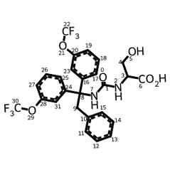 O=C(NC(CO)C(=O)O)NC(Cc1ccccc1)(c1cccc(OC(F)(F)F)c1)c1cccc(OC(F)(F)F)c1